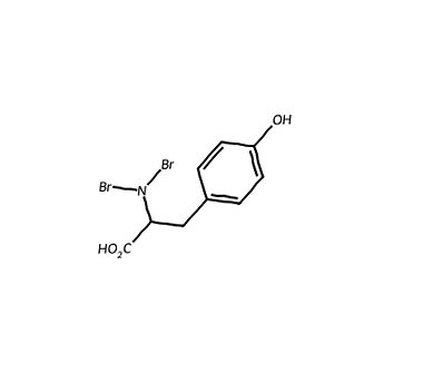 O=C(O)C(Cc1ccc(O)cc1)N(Br)Br